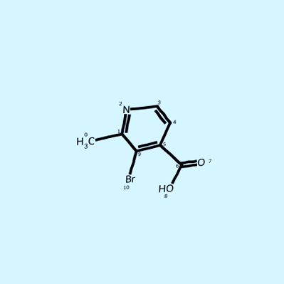 Cc1nccc(C(=O)O)c1Br